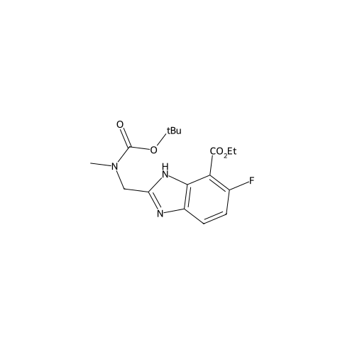 CCOC(=O)c1c(F)ccc2nc(CN(C)C(=O)OC(C)(C)C)[nH]c12